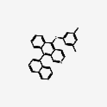 Cc1cc(C)cc(Oc2c3ccccc3c(-c3cccc4ccccc34)c3cnccc23)c1